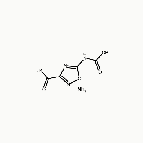 N.NC(=O)c1noc(NC(=O)O)n1